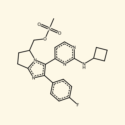 CS(=O)(=O)OCC1CCc2nc(-c3ccc(F)cc3)c(-c3ccnc(NC4CCC4)n3)n21